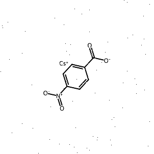 O=C([O-])c1ccc([N+](=O)[O-])cc1.[Cs+]